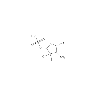 CC[C@H]1OC(OS(C)(=O)=O)C(F)(Cl)[C@H]1C